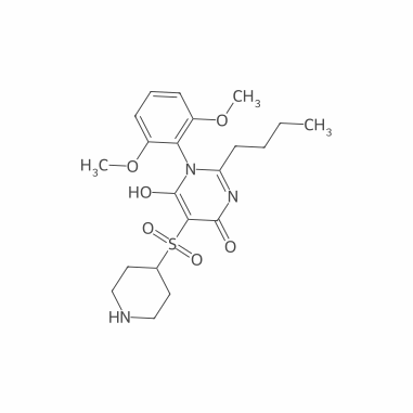 CCCCc1nc(=O)c(S(=O)(=O)C2CCNCC2)c(O)n1-c1c(OC)cccc1OC